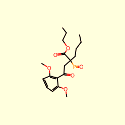 CCCCC(CC(=O)c1c(OC)cccc1OC)(P=O)C(=O)OCCC